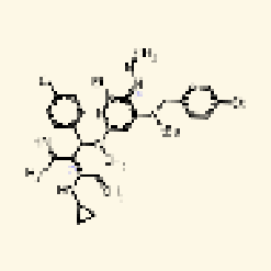 C=C/C(NC1CC1)=C(/C(C)=N)C(c1ccc(Cl)cc1)N(C)c1cc(N(Cc2ccc(CC)cc2)C(C)(C)C)/c(=N/N=C)n(CC)n1